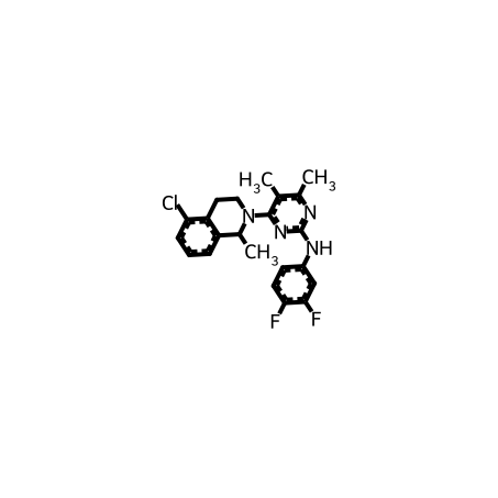 Cc1nc(Nc2ccc(F)c(F)c2)nc(N2CCc3c(Cl)cccc3C2C)c1C